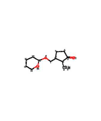 O=C(O)C1C(=O)CCC1COC1CCCCO1